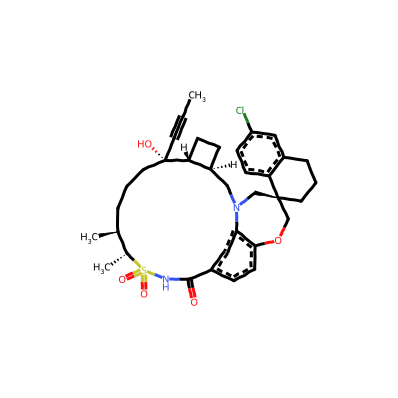 CC#C[C@]1(O)CCC[C@H](C)[C@@H](C)S(=O)(=O)NC(=O)c2ccc3c(c2)N(C[C@@H]2CC[C@H]21)C[C@@]1(CCCc2cc(Cl)ccc21)CO3